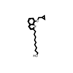 OCCCCCCCCCc1ccc2cccc(OCC3CC3)c2n1